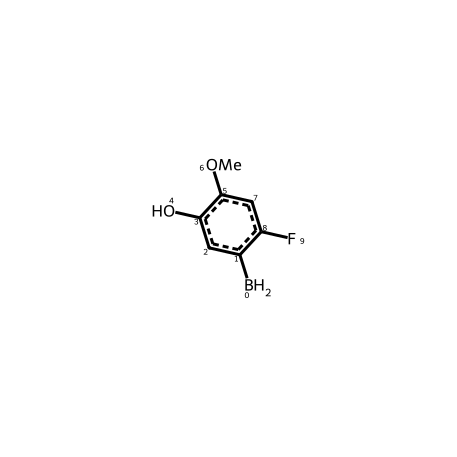 Bc1cc(O)c(OC)cc1F